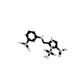 CS(=O)(=O)n1c([N+](=O)[O-])cnc1COc1cccc([N+](=O)[O-])c1